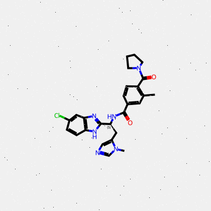 Cc1cc(C(=O)N[C@@H](Cc2cncn2C)c2nc3cc(Cl)ccc3[nH]2)ccc1C(=O)N1CCCC1